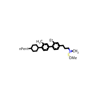 CCCCCC1CCC(c2ccc(-c3ccc(CCCN(C)SOC)cc3CC)cc2C)CC1